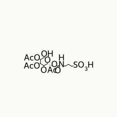 CC(=O)O[C@H]1[C@H](OC(C)=O)[C@@H](OC(C)=O)C(O)O[C@@H]1COC(=O)NCCCS(=O)(=O)O